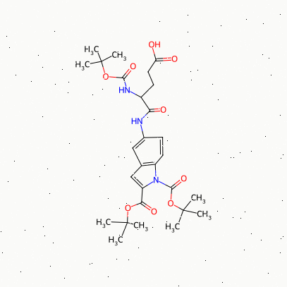 CC(C)(C)OC(=O)NC(CCC(=O)O)C(=O)Nc1ccc2c(c1)cc(C(=O)OC(C)(C)C)n2C(=O)OC(C)(C)C